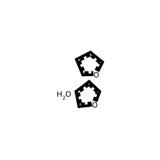 O.c1ccoc1.c1ccoc1